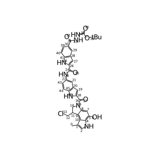 Cc1c[nH]c2c(O)cc3c(c12)C(CCl)CN3C(=O)c1cc2cc(NC(=O)c3cc4cc(C(=O)NNC(=O)OC(C)(C)C)ccc4[nH]3)ccc2[nH]1